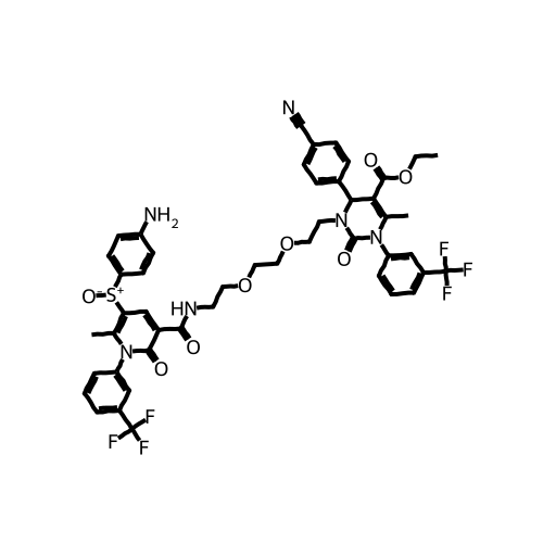 CCOC(=O)C1=C(C)N(c2cccc(C(F)(F)F)c2)C(=O)N(CCOCCOCCNC(=O)c2cc([S+]([O-])c3ccc(N)cc3)c(C)n(-c3cccc(C(F)(F)F)c3)c2=O)C1c1ccc(C#N)cc1